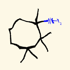 CC1(C)CCCC(C)(N)C1(C)C